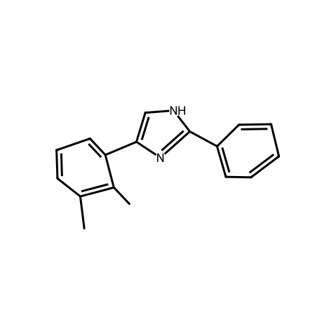 Cc1cccc(-c2c[nH]c(-c3ccccc3)n2)c1C